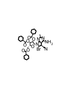 Cc1nc(N)c2c(C#N)c(Br)n([C@@H]3O[C@H](COC(=O)c4ccccc4)[C@@H](OC(=O)c4ccccc4)[C@H]3OC(=O)c3ccccc3)c2n1